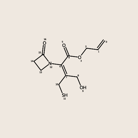 C=CCOC(=O)/C(=C(\CO)CS)N1CCC1=O